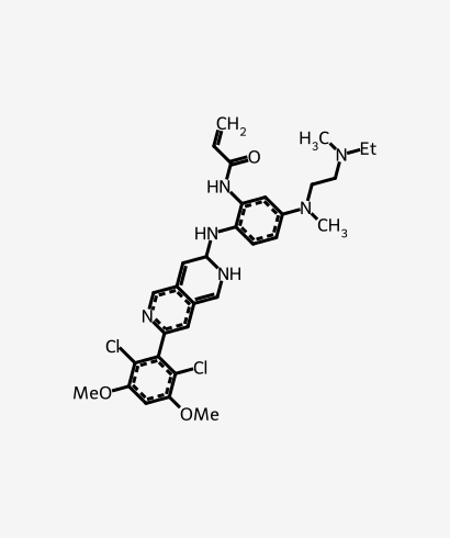 C=CC(=O)Nc1cc(N(C)CCN(C)CC)ccc1NC1C=c2cnc(-c3c(Cl)c(OC)cc(OC)c3Cl)cc2=CN1